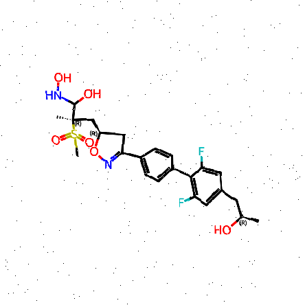 C[C@@H](O)Cc1cc(F)c(-c2ccc(C3=NO[C@@H](C[C@](C)(C(O)NO)S(C)(=O)=O)C3)cc2)c(F)c1